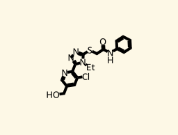 CCn1c(SCC(=O)Nc2ccccc2)nnc1-c1ncc(CO)cc1Cl